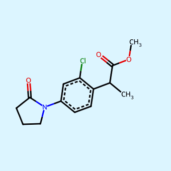 COC(=O)C(C)c1ccc(N2CCCC2=O)cc1Cl